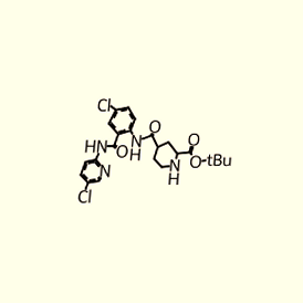 CC(C)(C)OC(=O)C1CC(C(=O)Nc2ccc(Cl)cc2C(=O)Nc2ccc(Cl)cn2)CCN1